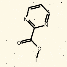 O=C(OI)c1ncccn1